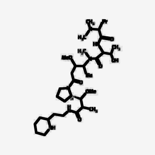 CCC(C)C(C(CC(=O)N1CCC[C@H]1C(OC)C(C)C(=O)NCCC1CCCCN1)OC)N(C)C(=O)C(NC(=O)C(C(C)C)N(C)C)C(C)O